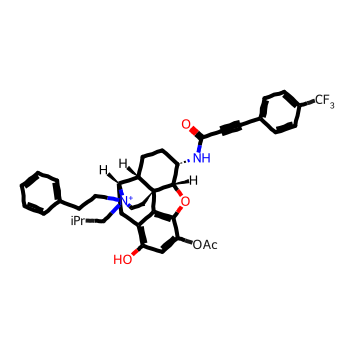 CC(=O)Oc1cc(O)c2c3c1O[C@H]1[C@@H](NC(=O)C#Cc4ccc(C(F)(F)F)cc4)CC[C@H]4[C@@H](C2)[N+](CCc2ccccc2)(CC(C)C)CC[C@@]341